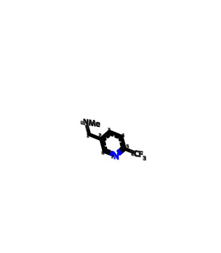 CNCc1ccc(C(F)(F)F)nc1